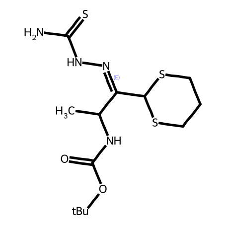 CC(NC(=O)OC(C)(C)C)/C(=N\NC(N)=S)C1SCCCS1